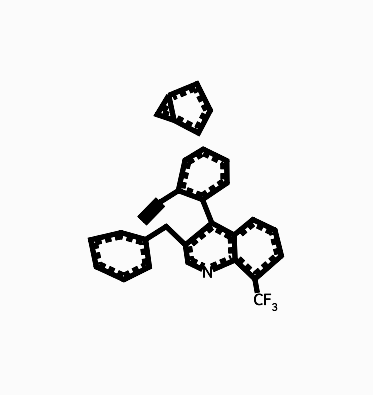 C#Cc1ccccc1-c1c(Cc2ccccc2)cnc2c(C(F)(F)F)cccc12.c1cc2cc-2c1